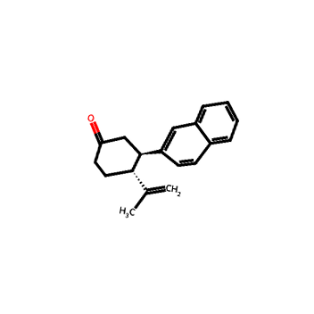 C=C(C)[C@@H]1CCC(=O)C[C@H]1c1ccc2ccccc2c1